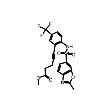 COC(=O)CCC#Cc1cc(C(F)(F)F)ccc1NS(=O)(=O)c1ccc2nc(C)oc2c1